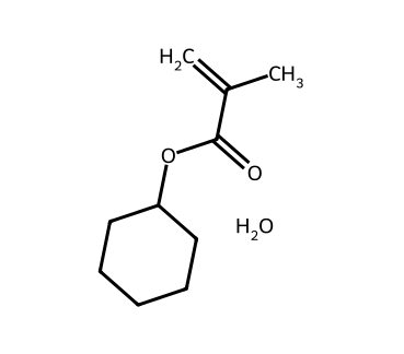 C=C(C)C(=O)OC1CCCCC1.O